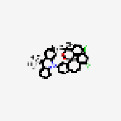 CC1(C)c2ccccc2N(c2ccc3c(c2)C2(c4ccccc4C(C)(C)c4ccccc42)c2cc(Cl)cc(Cl)c2CC3)c2ccccc21